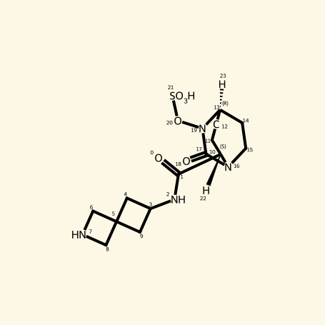 O=C(NC1CC2(CNC2)C1)[C@@H]1CC[C@@H]2CCN1C(=O)N2OS(=O)(=O)O